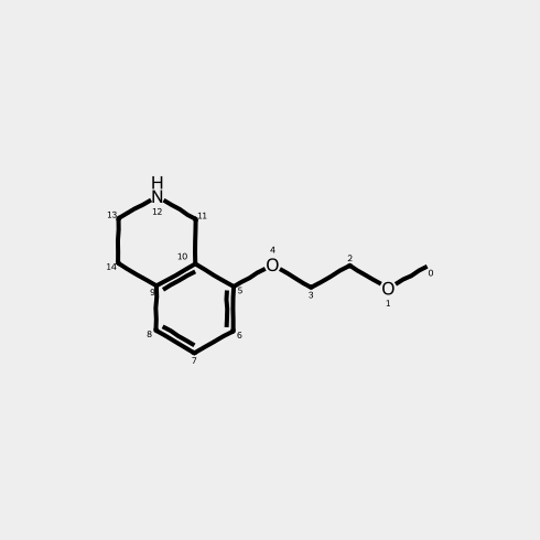 COCCOc1cccc2c1CNCC2